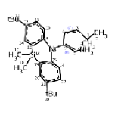 C=C(C)/C=C\C(=C/N)N1c2ccc(C(C)(C)C)cc2[Si](C)(C)c2cc(C(C)(C)C)ccc21